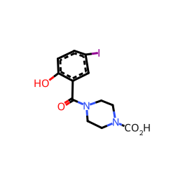 O=C(O)N1CCN(C(=O)c2cc(I)ccc2O)CC1